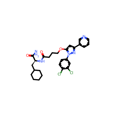 NC(=O)[C@H](CC1CCCCC1)NC(=O)CCCOc1cc(-c2cccnc2)nn1-c1ccc(Cl)c(Cl)c1